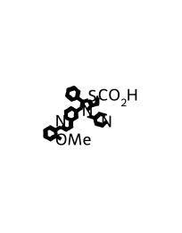 COc1ccccc1-c1ccc2cc(-c3c(-c4ccccc4)c4sc(C(=O)O)cc4n3Cc3ccncc3)ccc2n1